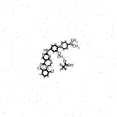 COc1cc(Nc2ncc3c(n2)SCN(c2c(Cl)cccc2Cl)C3=O)ccc1N1CCC(N(C)C)CC1.O=C(O)C(F)(F)F